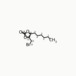 CCCCCCc1oc(=O)oc1CBr